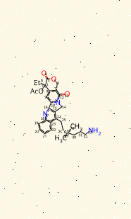 CC[C@@]1(OC(C)=O)C(=O)OCc2c1cc1n(c2=O)Cc2c-1nc1ccccc1c2CC[Si](C)(C)CCCN